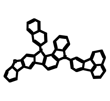 C1=CC2Oc3cc4c(cc3C2C=C1)c1ccc2c(c3ccccc3n2-c2ccc3c(c2)-c2cccc5cccc-3c25)c1n4-c1ccc2ccccc2c1